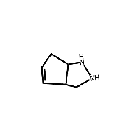 C1=CC2CNNC2C1